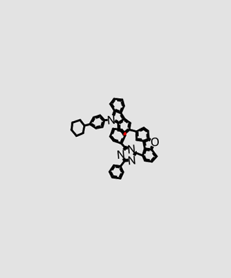 c1ccc(-c2nc(-c3ccccc3)nc(-c3cccc4oc5ccc(-c6ccc7c(c6)c6ccccc6n7-c6ccc(C7CCCCC7)cc6)cc5c34)n2)cc1